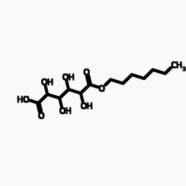 CCCCCCCOC(=O)C(O)C(O)C(O)C(O)C(=O)O